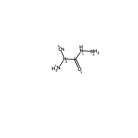 NNC(=O)[N](N)[Os]